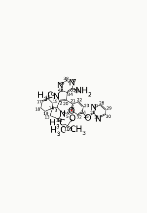 Cn1c(C2N(C(=O)OC(C)(C)C)CCC23CC=CCC3)c(-c2ccc(Oc3ncccn3)cc2)c2c(N)ncnc21